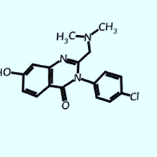 CN(C)Cc1nc2cc(O)ccc2c(=O)n1-c1ccc(Cl)cc1